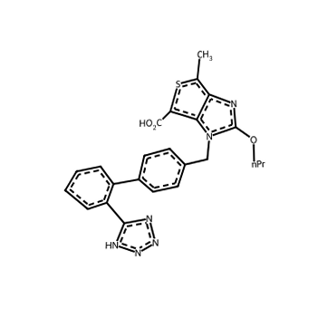 CCCOc1nc2c(C)sc(C(=O)O)c2n1Cc1ccc(-c2ccccc2-c2nnn[nH]2)cc1